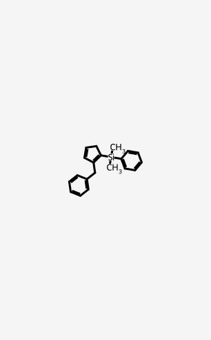 C[Si](C)(C1=C(Cc2ccccc2)C=CC1)c1ccccc1